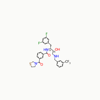 O=C(N[C@@H](Cc1cc(F)cc(F)c1)[C@H](O)CNCc1cccc(C(F)(F)F)c1)c1cccc(C(=O)N2CCSC2)c1